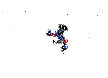 Cc1ccc(/C=C(\F)C(=O)N2CCN(c3nc(OC[C@@H]4CCCN4C)nc4c3CCN(c3cccc5cccc(Cl)c35)C4)C[C@@H]2CC#N)nc1